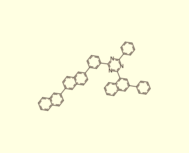 c1ccc(-c2cc(-c3nc(-c4ccccc4)nc(-c4cccc(-c5ccc6cc(-c7ccc8ccccc8c7)ccc6c5)c4)n3)c3ccccc3c2)cc1